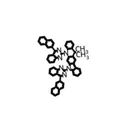 CC1(C)c2ccccc2N(c2nc(-c3ccc4ccccc4c3)c3ccccc3n2)c2cc3c(cc21)c1ccccc1n3-c1nc(-c2ccc3ccccc3c2)c2ccccc2n1